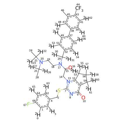 [2H]c1c([2H])c(CSc2nc(=O)c3c(n2CC(=O)N(CCN(C([2H])([2H])C)C([2H])([2H])C)C([2H])([2H])c2c([2H])c([2H])c(-c4c([2H])c([2H])c(C(F)(F)F)c(C)c4[2H])c([2H])c2[2H])C([2H])([2H])C([2H])([2H])C3([2H])[2H])c([2H])c([2H])c1F